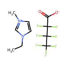 CCn1cc[n+](C)c1.O=C([O-])C(F)(F)C(F)(F)C(F)(F)F